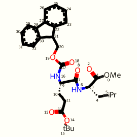 COC(=O)[C@H](CC(C)C)NC(=O)[C@H](CCC(=O)OC(C)(C)C)NC(=O)OCC1c2ccccc2-c2ccccc21